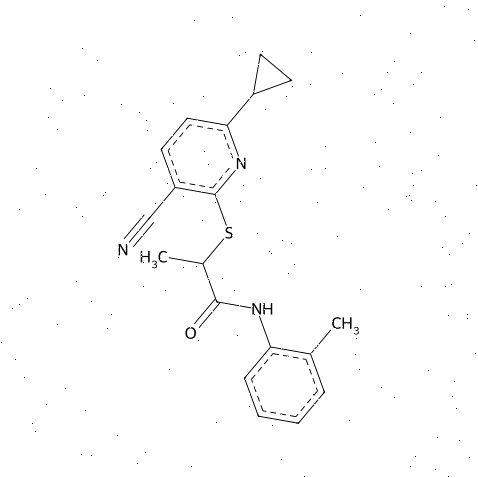 Cc1ccccc1NC(=O)C(C)Sc1nc(C2CC2)ccc1C#N